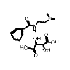 CN(C)CCNC(=O)c1ccccc1.O=C(O)C(O)C(O)C(=O)O